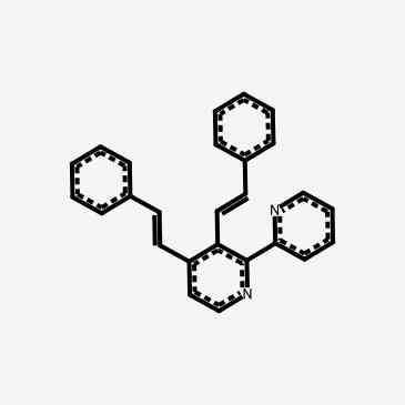 C(=Cc1ccnc(-c2ccccn2)c1C=Cc1ccccc1)c1ccccc1